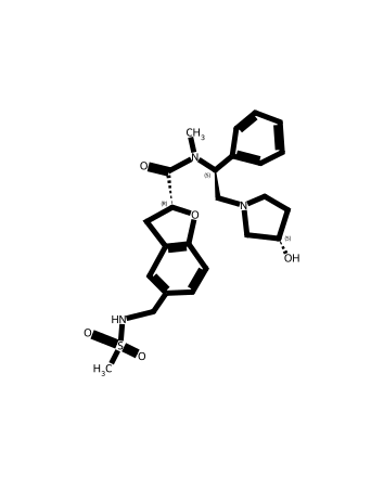 CN(C(=O)[C@H]1Cc2cc(CNS(C)(=O)=O)ccc2O1)[C@H](CN1CC[C@H](O)C1)c1ccccc1